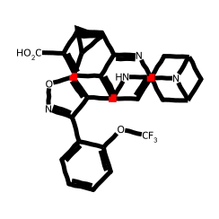 O=C(O)c1ccc2nc(N3C4CC(NCc5c(-c6ccccc6OC(F)(F)F)noc5C5CC5)CC3C4)ccc2c1